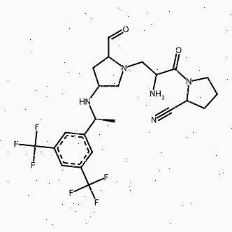 C[C@H](NC1CC(C=O)N(CC(N)C(=O)N2CCCC2C#N)C1)c1cc(C(F)(F)F)cc(C(F)(F)F)c1